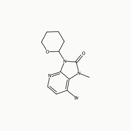 Cn1c(=O)n(C2CCCCO2)c2nccc(Br)c21